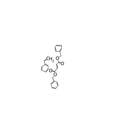 C=Cc1ccccc1.O=C(C=CC(=O)OCc1ccccc1)OCc1ccccc1